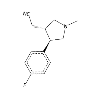 CN1C[C@@H](CC#N)[C@H](c2ccc(F)cc2)C1